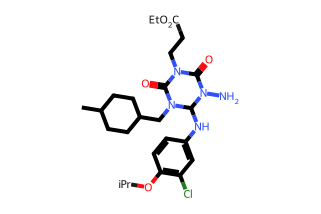 CCOC(=O)CCN1C(=O)N(N)C(Nc2ccc(OC(C)C)c(Cl)c2)N(CC2CCC(C)CC2)C1=O